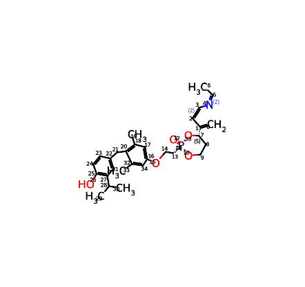 C=C(/C=C\N=C/C)[C@@H]1CCO[P@](=O)(CCOc2cc(C)c(Cc3ccc(O)c(C(C)C)c3)c(C)c2)O1